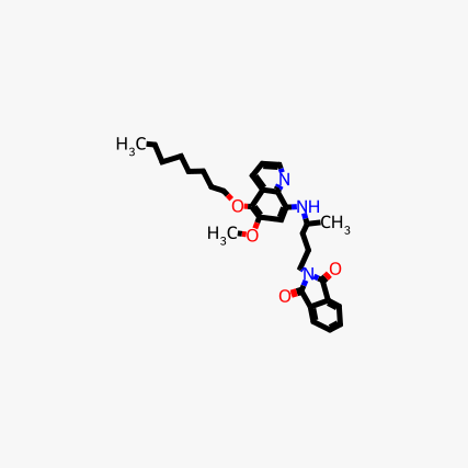 CCCCCCCCOc1c(OC)cc(NC(C)CCCN2C(=O)c3ccccc3C2=O)c2ncccc12